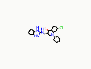 N=C(NCc1cn(-c2ccccc2)c2cc(Cl)ccc2c1=O)Nc1ccccc1